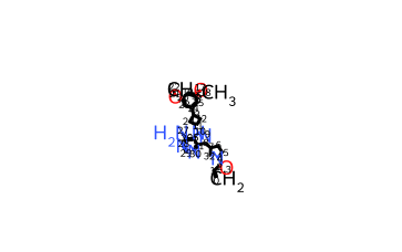 C=CC(=O)N1CCC(c2nn(C3CC(c4cc(OC)cc(OC)c4)C3)c3c(N)ncnc23)C1